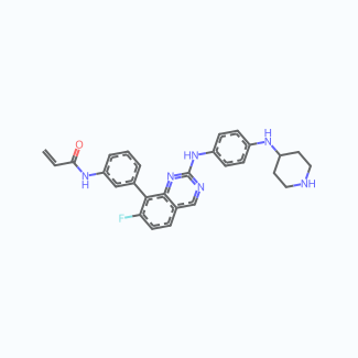 C=CC(=O)Nc1cccc(-c2c(F)ccc3cnc(Nc4ccc(NC5CCNCC5)cc4)nc23)c1